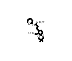 CCCCCCCC(C=CC1CCC2(OCC(C)(C)CO2)C1CC=O)OC1CCCCO1